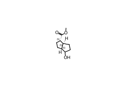 COC(=O)[C@H]1CC[C@@H]2C(O)CC[C@H]12